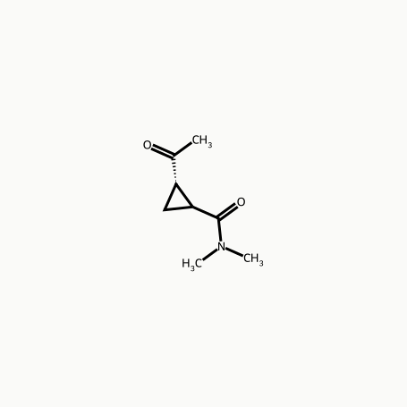 CC(=O)[C@H]1CC1C(=O)N(C)C